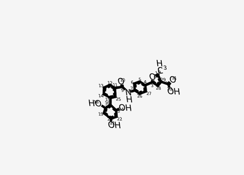 Cc1oc(-c2ccc(NC(=O)c3cccc(-c4c(O)cc(O)cc4O)c3)cc2)cc1C(=O)O